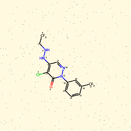 O=c1c(Cl)c(NNCC(F)(F)F)cnn1-c1cccc(C(F)(F)F)c1